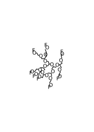 FOCCOCC(COCCOF)OCC(COC(COCCOF)COCCOF)OC(COC(COCCOF)COCCOF)COC(COCCOF)COCCOF